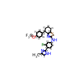 Cc1c[nH]c(-c2ccc(Nc3nc4c(s3)CCCC4c3ccc(OC(F)(F)F)cc3)cc2F)n1